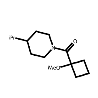 COC1(C(=O)N2CCC(C(C)C)CC2)CCC1